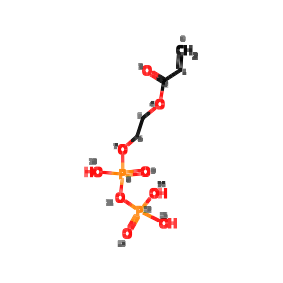 C=CC(=O)OCCOP(=O)(O)OP(=O)(O)O